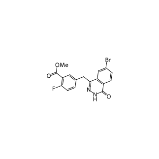 COC(=O)c1cc(Cc2n[nH]c(=O)c3ccc(Br)cc23)ccc1F